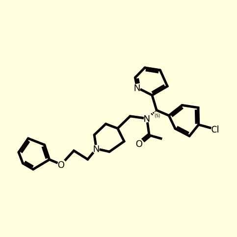 CC(=O)N(CC1CCN(CCOc2ccccc2)CC1)[C@@H](c1ccc(Cl)cc1)c1ccccn1